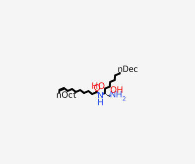 CCCCCCCC/C=C\CCCCCCCC(=O)N[C@@H](CN)[C@H](O)[C@H](O)CCCCCCCCCCCCCC